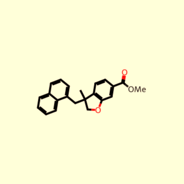 COC(=O)c1ccc2c(c1)OCC2(C)Cc1cccc2ccccc12